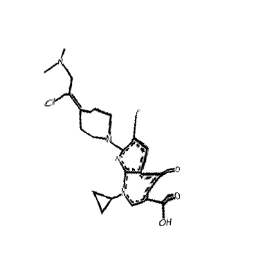 CN(C)CC(Cl)=C1CCN(c2nc3c(cc2F)c(=O)c(C(=O)O)cn3C2CC2)CC1